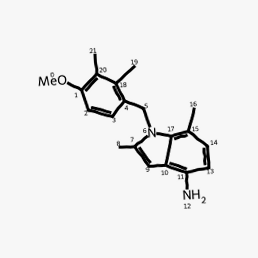 COc1ccc(Cn2c(C)cc3c(N)ccc(C)c32)c(C)c1C